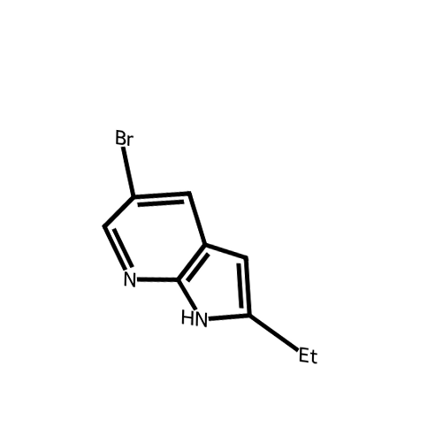 CCc1cc2cc(Br)cnc2[nH]1